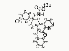 CC(C)(C)OC(=O)NC[C@]1(c2cccc(Cl)c2)CC[C@@H](N(Cc2ccccc2)C(=O)c2cccnn2)CC1